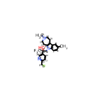 Cc1ccc2c(c1)c1c(n2CC(O)(c2ccc(CF)nc2)C(F)(F)F)CCN(C)CC1